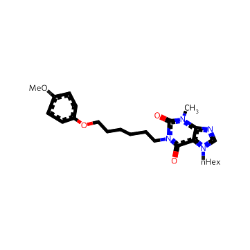 CCCCCCn1cnc2c1c(=O)n(CCCCCCOc1ccc(OC)cc1)c(=O)n2C